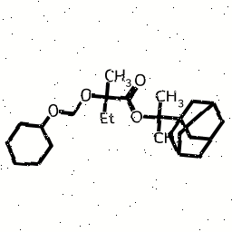 CCC(C)(OCOC1CCCCC1)C(=O)OC(C)(C)C12CC3CC(CC(C3)C1)C2